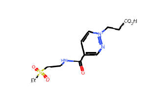 CCS(=O)(=O)CCNC(=O)c1cc[n+](CCC(=O)O)nc1